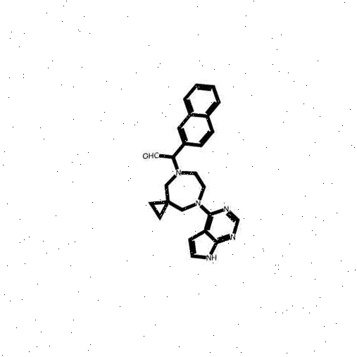 O=CC(c1ccc2ccccc2c1)N1CCN(c2ncnc3[nH]ccc23)CC2(CC2)C1